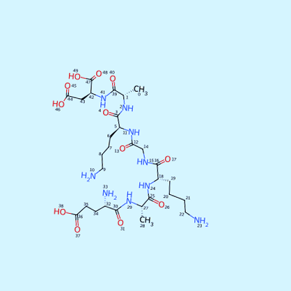 C[C@H](NC(=O)[C@H](CCCCN)NC(=O)CNC(=O)[C@H](CCCCN)NC(=O)[C@H](C)NC(=O)[C@@H](N)CCC(=O)O)C(=O)N[C@@H](CC(=O)O)C(=O)O